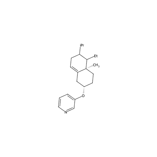 CCC1C(C(C)C)CC=C2C[C@@H](Oc3cccnc3)CC[C@@]21C